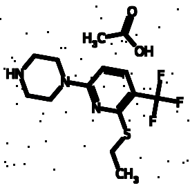 CC(=O)O.CCSc1nc(N2CCNCC2)ccc1C(F)(F)F